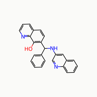 Oc1c(C(Nc2cnc3ccccc3c2)c2ccccc2)ccc2cccnc12